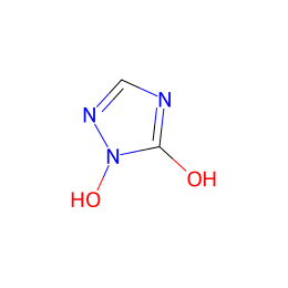 Oc1ncnn1O